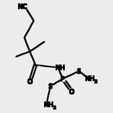 CC(C)(CCC#N)C(=O)NP(=O)(SN)SN